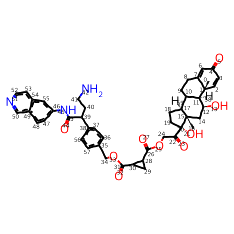 C[C@]12C=CC(=O)C=C1CCC1[C@@H]2[C@@H](O)C[C@@]2(C)[C@H]1CC[C@]2(O)C(=O)COC(=O)C1CC1C(=O)OCc1ccc(C(CCN)C(=O)Nc2ccc3cnccc3c2)cc1